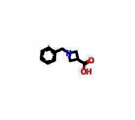 O=C(O)C1CN(Cc2[c]cccc2)C1